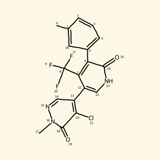 Cc1cccc(-c2c(C(F)(F)F)c(-c3cnn(C)c(=O)c3Cl)c[nH]c2=O)c1